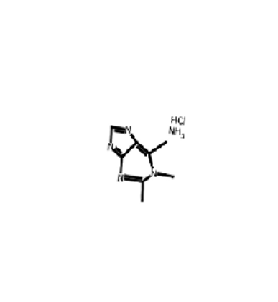 Cc1nc2ncnc-2c(C)n1C.Cl.N